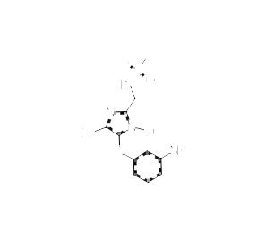 CCn1c(CNS(C)(=O)=O)nc(C(C)C)c1Sc1cccc([N+](=O)[O-])c1